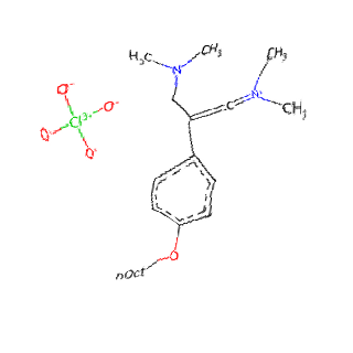 CCCCCCCCOc1ccc(C(=C=[N+](C)C)CN(C)C)cc1.[O-][Cl+3]([O-])([O-])[O-]